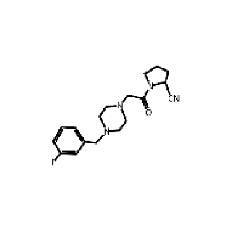 N#CC1CCCN1C(=O)CN1CCN(Cc2cccc(I)c2)CC1